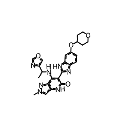 CC(Nc1c(-c2nc3ccc(OC4CCOCC4)cc3[nH]2)c(=O)[nH]c2cn(C)nc12)c1cocn1